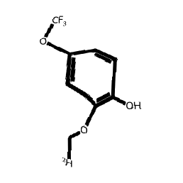 [2H]COc1cc(OC(F)(F)F)ccc1O